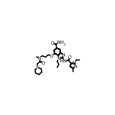 CCCn1c(NC(=O)c2cc(C)nn2CC)nc2cc(C(N)=O)cc(OCCCN(C)C(=O)CN3CCCCC3)c21